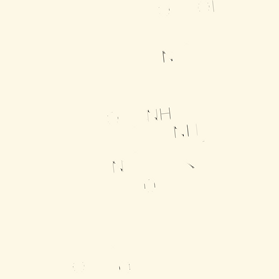 COc1ccc(-c2nc(C(=O)NCc3cccc(C(=O)O)n3)c([C@H](C)N)o2)cc1OC